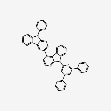 c1ccc(-c2cc(-c3ccccc3)nc(-n3c4ccccc4c4c(-c5ccc6c(c5)c5ncccc5n6-c5ccccc5)cccc43)c2)cc1